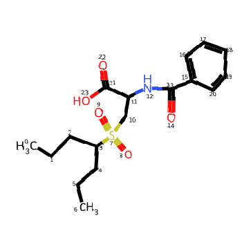 CCCC(CCC)S(=O)(=O)CC(NC(=O)c1ccccc1)C(=O)O